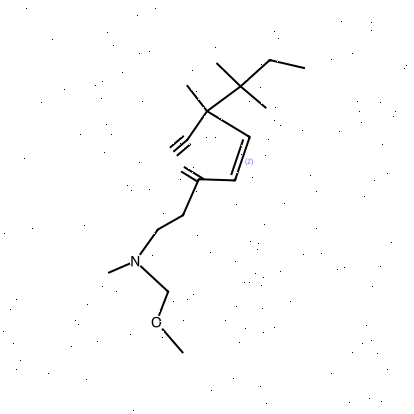 C#CC(C)(/C=C\C(=C)CCN(C)COC)C(C)(C)CC